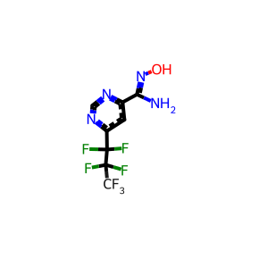 NC(=NO)c1cc(C(F)(F)C(F)(F)C(F)(F)F)ncn1